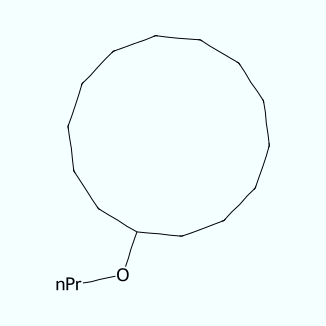 CCCOC1CCCCCCCCCCCCC1